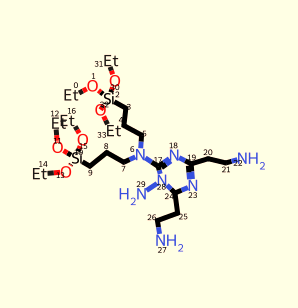 CCO[Si](CCCN(CCC[Si](OCC)(OCC)OCC)C1=NC(CCN)=NC(CCN)N1N)(OCC)OCC